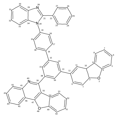 C1=CC2Oc3ccccc3C2C=C1c1cc(-c2ccc(-n3c(-c4ccccc4)nc4ccccc43)cc2)cc(-c2nc3ccccc3c3oc4ccccc4c23)c1